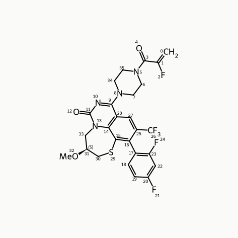 C=C(F)C(=O)N1CCN(c2nc(=O)n3c4c(c(-c5ccc(F)cc5F)c(C(F)(F)F)cc24)SC[C@@H](OC)C3)CC1